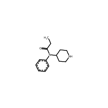 CCC(=O)N(c1ccccc1)C1CCNCC1